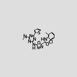 Cc1cccc(Cl)c1NC(=O)c1nnc(Nc2nc(-c3cccs3)nc(N(C)C)n2)o1